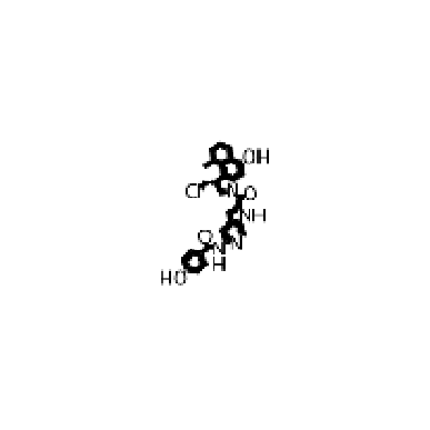 Cc1cccc2c(O)cc3c(c12)[C@H](CCl)CN3C(=O)c1cc2cc(NC(=O)c3ccc(O)cc3)ncc2[nH]1